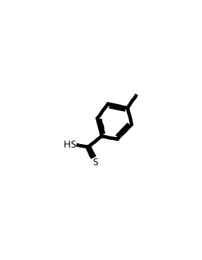 Cc1ccc(C(=S)S)cc1